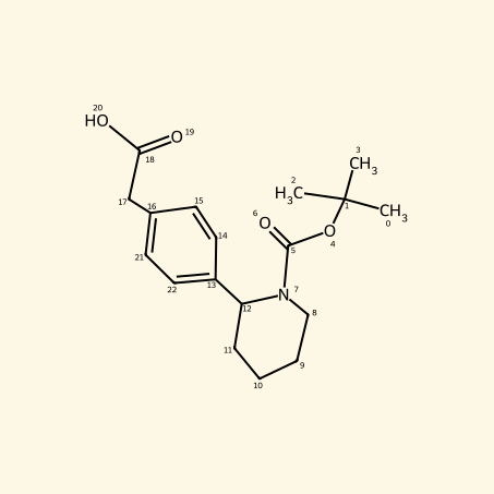 CC(C)(C)OC(=O)N1CCCCC1c1ccc(CC(=O)O)cc1